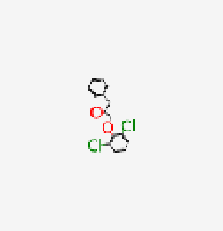 O=C(COc1c(Cl)cccc1Cl)Cc1ccccc1